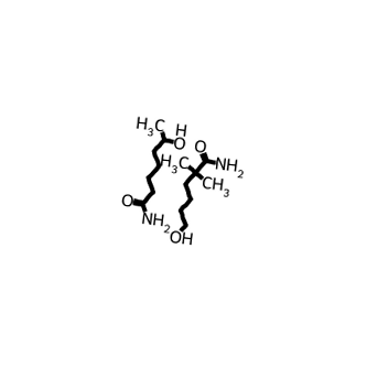 CC(C)(CCCCO)C(N)=O.CC(O)CCCCC(N)=O